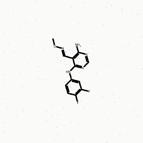 CO/N=C/c1c(N)ncnc1Nc1ccc(F)c(F)c1